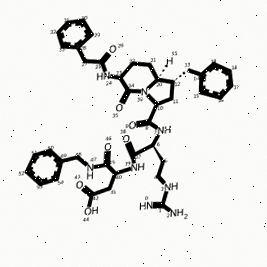 N=C(N)NCC[C@H](NC(=O)C1C[C@@H](Cc2ccccc2)[C@@H]2CCC(NC(=O)Cc3ccccc3)C(=O)N12)C(=O)NC(CC(=O)O)C(=O)NCc1ccccc1